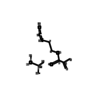 C=C(C)C(=O)OCCN=C=O.[CH2]C(C)OC